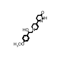 COc1ccc(C(O)CN2CC=C(C3=NNC(=O)CC3)CC2)cc1